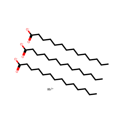 CCCCCCCCCCCCCC(=O)[O-].CCCCCCCCCCCCCC(=O)[O-].CCCCCCCCCCCCCC(=O)[O-].[Rh+3]